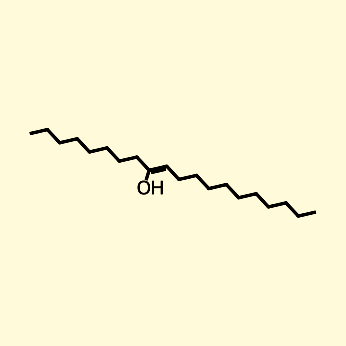 CCCCCCCCCCC=C(O)CCCCCCCC